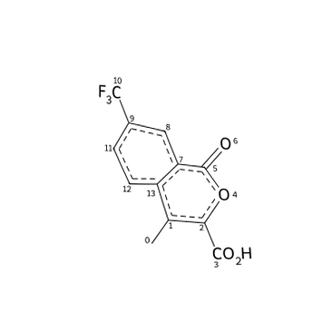 Cc1c(C(=O)O)oc(=O)c2cc(C(F)(F)F)ccc12